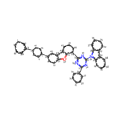 c1ccc(-c2ccc(-c3ccc4oc5c(-c6nc(-c7ccccc7)nc(-n7c8ccccc8c8ccccc87)n6)cccc5c4c3)cc2)cc1